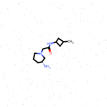 CC1CC(NC(=O)CN2CCC[C@@H](N)C2)C1